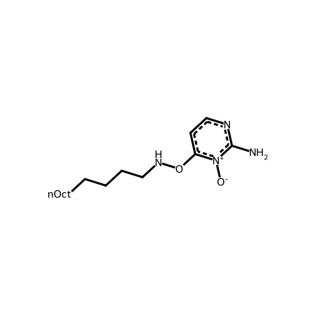 CCCCCCCCCCCCNOc1ccnc(N)[n+]1[O-]